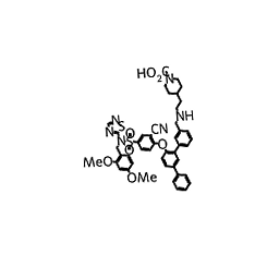 COc1ccc(CN(c2ncns2)S(=O)(=O)c2ccc(Oc3ccc(-c4ccccc4)cc3-c3cccc(CNCCC4CCN(C(=O)O)CC4)c3)c(C#N)c2)c(OC)c1